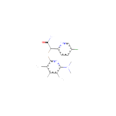 CCc1c(C#N)c(SC(C(N)=O)c2ccc(F)cn2)nc(N(C)C)c1C#N